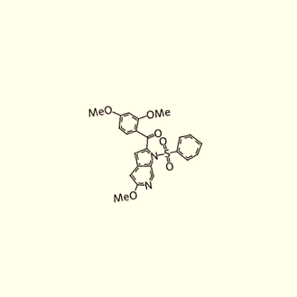 COc1ccc(C(=O)c2cc3cc(OC)ncc3n2S(=O)(=O)c2ccccc2)c(OC)c1